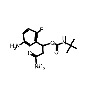 CC(C)(C)NC(=O)OC(CC(N)=O)c1cc(N)ccc1F